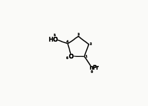 CCCC1CCC(O)O1